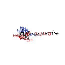 C#CCCCOCCOCCOCCOCCNC(=O)CO[C@@H]([C@@H]1OC(C(=O)O)=C[C@H](NC(=N)N)[C@H]1NC(C)=O)[C@H](O)CO